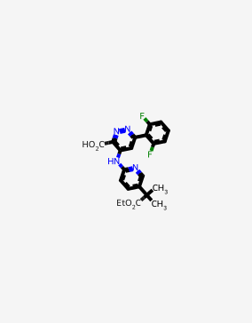 CCOC(=O)C(C)(C)c1ccc(Nc2cc(-c3c(F)cccc3F)nnc2C(=O)O)nc1